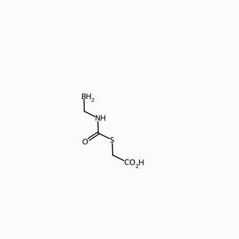 BCNC(=O)SCC(=O)O